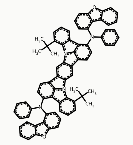 CC(C)(C)c1cccc2c3c(N(c4ccccc4)c4cccc5oc6ccccc6c45)ccc4c5cc6c(cc5n(c12)c43)c1ccc(N(c2ccccc2)c2cccc3oc4ccccc4c23)c2c3cccc(C(C)(C)C)c3n6c12